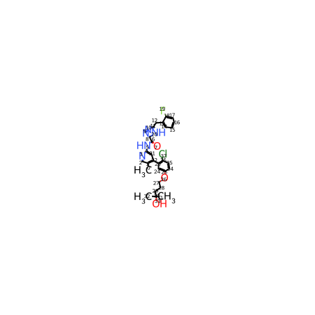 Cc1cnc(NC(=O)c2nnc(Cc3ccccc3F)[nH]2)cc1-c1cc(OCCCC(C)(C)O)ccc1Cl